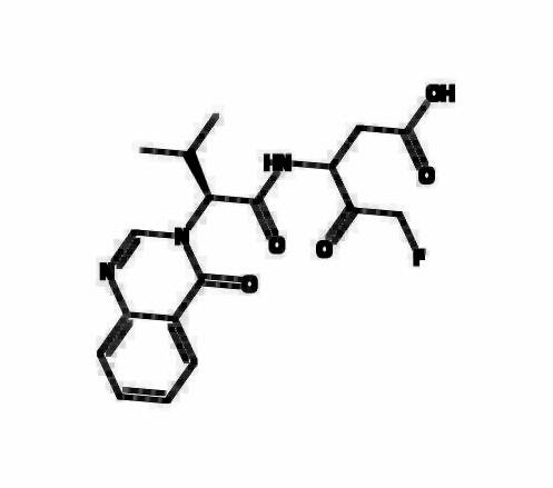 CC(C)[C@@H](C(=O)NC(CC(=O)O)C(=O)CF)n1cnc2ccccc2c1=O